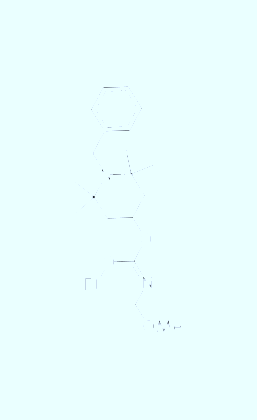 CCOC(=NCOC)OC1CC(C)(C)N(Cc2ccccc2)C(C)(C)C1